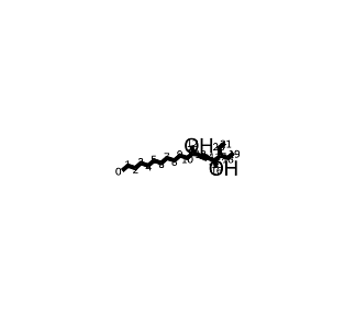 CCCCCCCCCCCC(O)C#CC(O)C(CC)CC